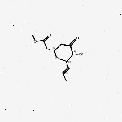 COC(=O)C[C@@H]1CC(=O)[C@H](O)[C@@H](/C=C/I)O1